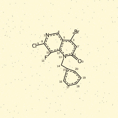 O=c1cc(Br)c2cnc(Cl)c(F)c2n1Cc1ccccc1